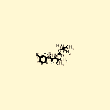 CC(C)[C@H](NC(=O)OC(C)(C)C)C(=O)N(N)c1cccc(I)c1